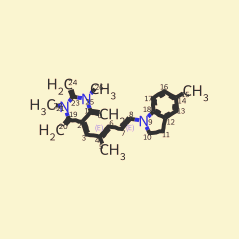 C=C1C(=C/C(C)=C/C=C/N2CCc3cc(C)ccc32)C(=C)N(C)C(=C)N1C